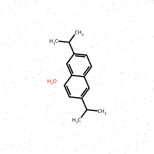 CC(C)c1ccc2cc(C(C)C)ccc2c1.O